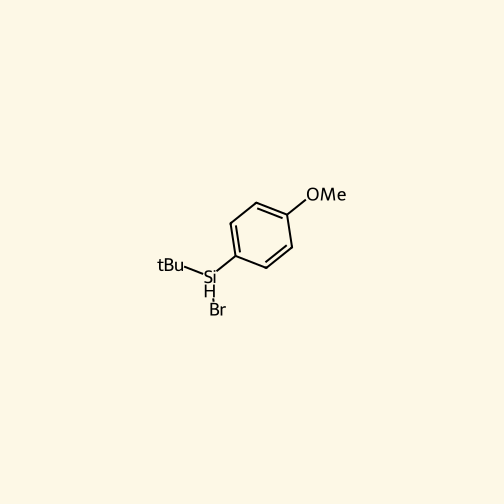 COc1ccc([SiH](Br)C(C)(C)C)cc1